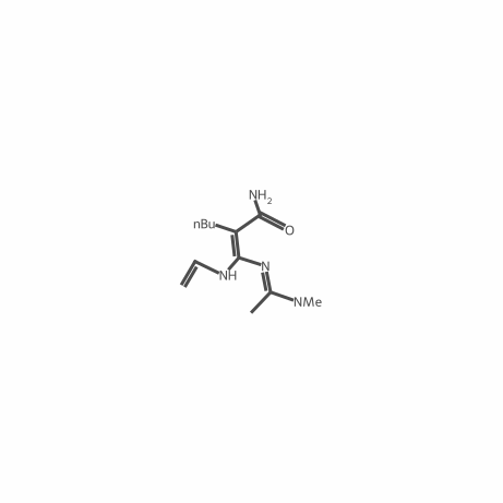 C=CNC(/N=C(\C)NC)=C(\CCCC)C(N)=O